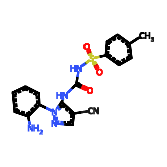 Cc1ccc(S(=O)(=O)NC(=O)Nc2c(C#N)cnn2-c2ccccc2N)cc1